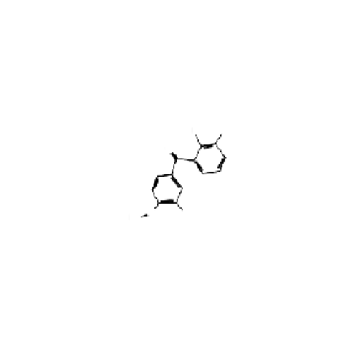 COc1ccc(C(=O)c2cccc(F)c2F)cc1F